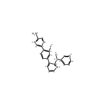 Nc1cnc(-c2ccc(-c3cccnc3[S+]([O-])c3cccnc3)cc2F)cn1